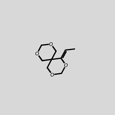 CC=C1OCOCC12COCOC2